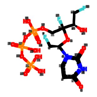 O=c1ccn([C@@H](CF)O[C@](F)(COP(=O)(O)OP(=O)(O)OP(=O)(O)O)[C@@H](O)CF)c(=O)[nH]1